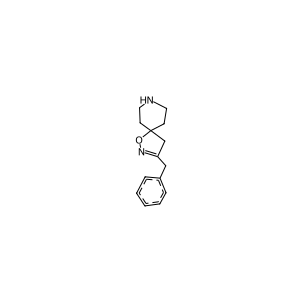 c1ccc(CC2=NOC3(CCNCC3)C2)cc1